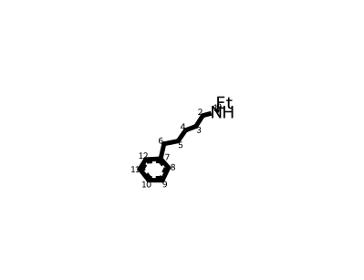 CCNCCCCCc1ccccc1